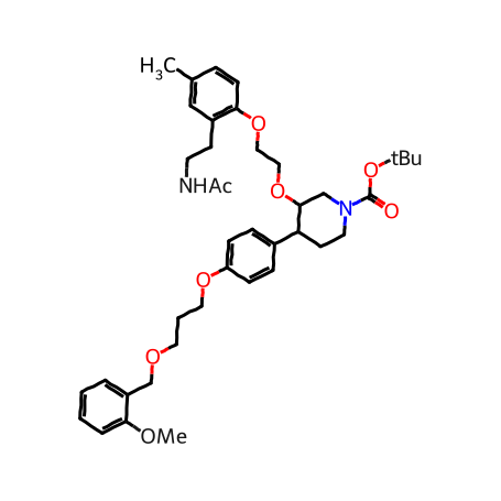 COc1ccccc1COCCCOc1ccc(C2CCN(C(=O)OC(C)(C)C)CC2OCCOc2ccc(C)cc2CCNC(C)=O)cc1